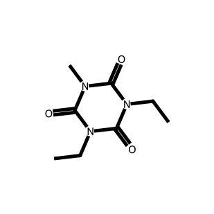 CCn1c(=O)n(C)c(=O)n(CC)c1=O